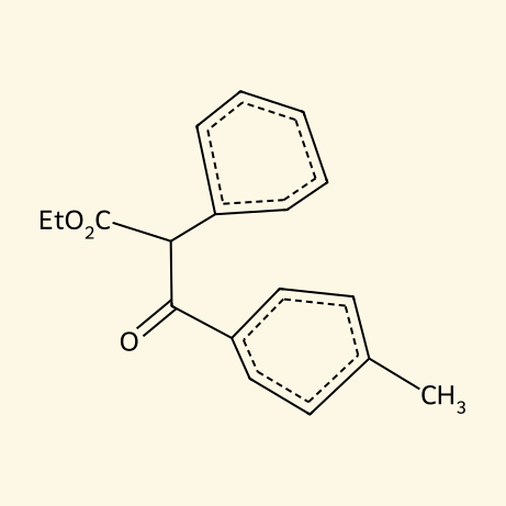 CCOC(=O)C(C(=O)c1ccc(C)cc1)c1ccccc1